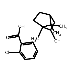 CC1(C)C2CCC1(C)C(O)C2.O=C(O)c1ccccc1Cl